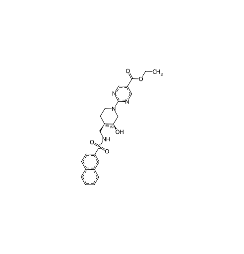 CCOC(=O)c1cnc(N2CC[C@H](CNS(=O)(=O)c3ccc4ccccc4c3)[C@H](O)C2)nc1